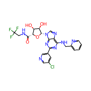 O=C(NCC(F)(F)F)[C@H]1O[C@@H](n2cnc3c(NCc4ccccn4)nc(-c4cncc(Cl)c4)nc32)[C@H](O)[C@@H]1O